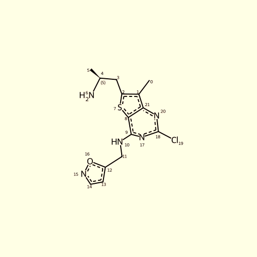 Cc1c(C[C@H](C)N)sc2c(NCc3ccno3)nc(Cl)nc12